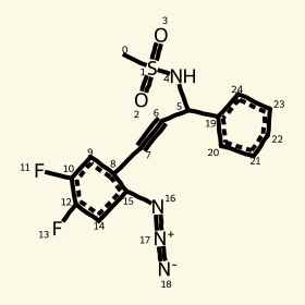 CS(=O)(=O)NC(C#Cc1cc(F)c(F)cc1N=[N+]=[N-])c1ccccc1